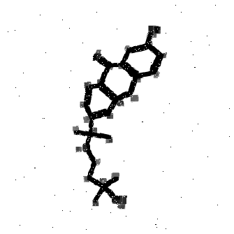 CCc1ccc2c(c1)C(=O)c1ccc(C(C)(C)OCCC(C)(C)O)cc1C2